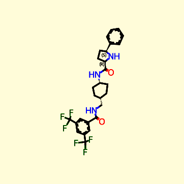 O=C(NC[C@H]1CC[C@@H](NC(=O)[C@H]2CC[C@@H](c3ccccc3)N2)CC1)c1cc(C(F)(F)F)cc(C(F)(F)F)c1